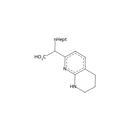 CCCCCCCC(C(=O)O)c1ccc2c(n1)NCCC2